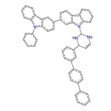 C1=CC(c2cccc(-c3ccc(-c4ccccc4)cc3)c2)NC(n2c3ccccc3c3ccc(-c4ccc5c(c4)c4ccccc4n5-c4ccccc4)cc32)N1